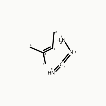 CC=C(C)C.N=C=NN